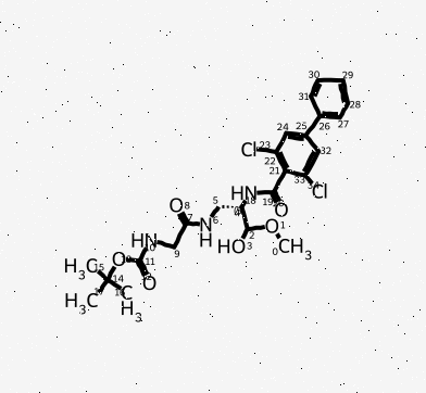 COC(O)[C@H](CNC(=O)CNC(=O)OC(C)(C)C)NC(=O)c1c(Cl)cc(-c2ccccc2)cc1Cl